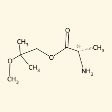 COC(C)(C)COC(=O)[C@H](C)N